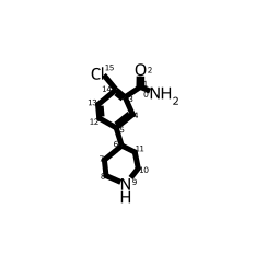 NC(=O)c1cc(C2CCNCC2)ccc1Cl